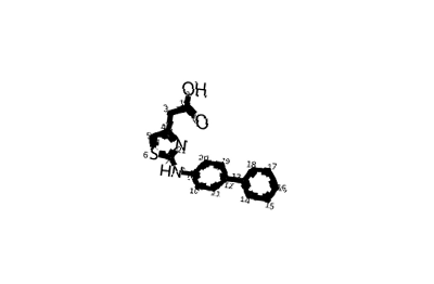 O=C(O)Cc1csc(Nc2ccc(-c3ccccc3)cc2)n1